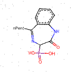 CCCCCC1=NC(P(=O)(O)O)C(=O)Nc2ccccc21